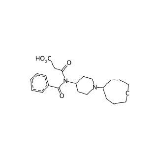 O=C(O)CC(=O)N(C(=O)c1ccccc1)C1CCN(C2CCCCCCC2)CC1